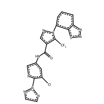 O=C(Nc1cnc(-n2nccn2)c(Cl)c1)c1cnn(-c2cccc3nnsc23)c1C(F)(F)F